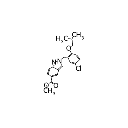 COC(=O)c1ccc2nn(Cc3cc(Cl)ccc3OCC(C)C)cc2c1